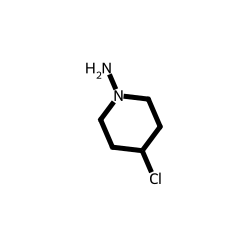 NN1CCC(Cl)CC1